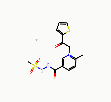 Cc1ccc(C(=O)NNS(C)(=O)=O)c[n+]1CC(=O)c1cccs1.[Br-]